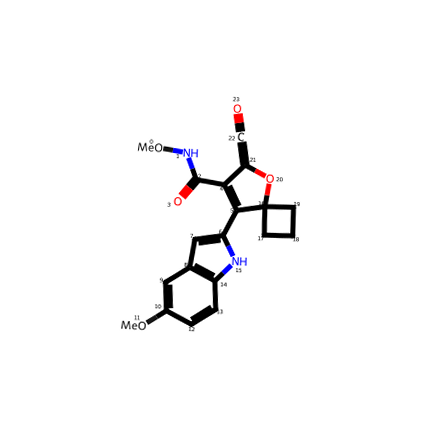 CONC(=O)C1=C(c2cc3cc(OC)ccc3[nH]2)C2(CCC2)OC1=C=O